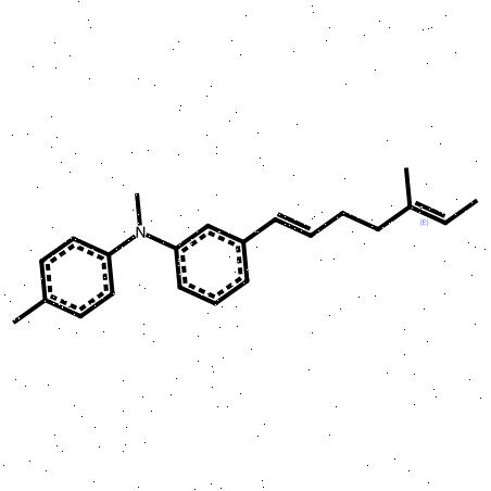 C/C=C(\C)CCC=Cc1cccc(N(C)c2ccc(C)cc2)c1